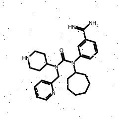 N=C(N)c1cccc(N(C(=O)N(Cc2ccccn2)C2CCNCC2)C2CCCCCC2)c1